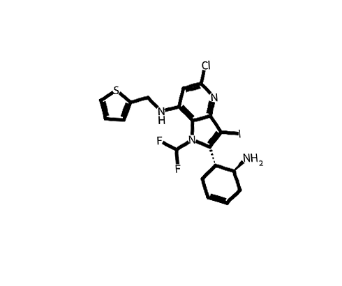 N[C@H]1CC=CC[C@@H]1c1c(I)c2nc(Cl)cc(NCc3cccs3)c2n1C(F)F